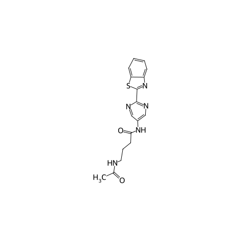 CC(=O)NCCCC(=O)Nc1cnc(-c2nc3ccccc3s2)nc1